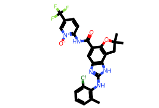 Cc1cccc(Cl)c1Nc1nc2cc(C(=O)Nc3ccc(C(F)(F)F)c[n+]3[O-])c3c(c2[nH]1)CC(C)(C)O3